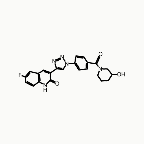 O=C(c1ccc(-n2cc(-c3cc4cc(F)ccc4[nH]c3=O)nn2)cc1)N1CCCC(O)C1